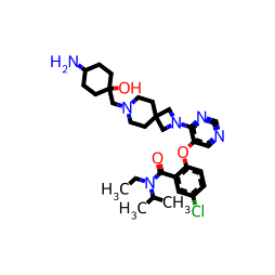 CCN(C(=O)c1cc(Cl)ccc1Oc1cncnc1N1CC2(CCN(CC3(O)CCC(N)CC3)CC2)C1)C(C)C